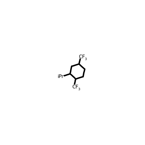 CC(C)C1CC(C(F)(F)F)CCC1C(F)(F)F